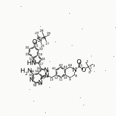 CC(C)(C)OC(=O)N1CCc2cc(Cn3nc(-c4cc5cc(O[Si](C)(C)C(C)(C)C)ccc5[nH]4)c4c(N)ncnc43)ccc2C1